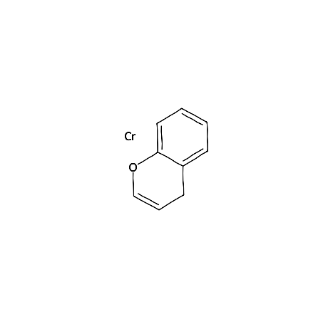 C1=COc2ccccc2C1.[Cr]